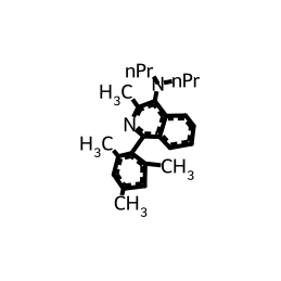 CCCN(CCC)c1c(C)nc(-c2c(C)cc(C)cc2C)c2ccccc12